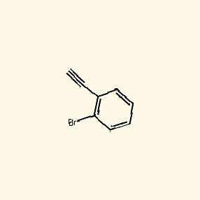 C#Cc1ccc[c]c1Br